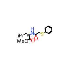 COC(=O)[C@@H](CC(C)C)NC(=O)CSc1ccccc1